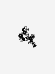 CC(C)(C)OC(=O)NC(C)(C)c1cc(NC(=O)N[C@@]23C[C@H]2[C@H]3c2cc(Oc3ccnc4c3CCC(=O)N4)ccc2O)cc(C(F)(F)F)c1